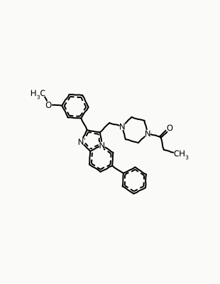 CCC(=O)N1CCN(Cc2c(-c3cccc(OC)c3)nc3ccc(-c4ccccc4)cn23)CC1